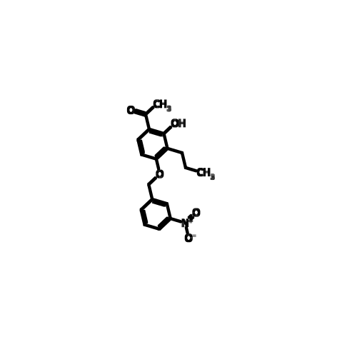 CCCc1c(OCc2cccc([N+](=O)[O-])c2)ccc(C(C)=O)c1O